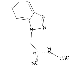 N#C[C@H](Cn1nnc2ccccc21)NC=O